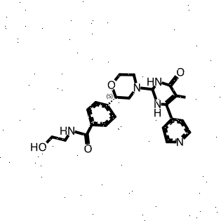 CC1=C(c2ccncc2)NC(N2CCO[C@@H](c3ccc(C(=O)NCCO)cc3)C2)NC1=O